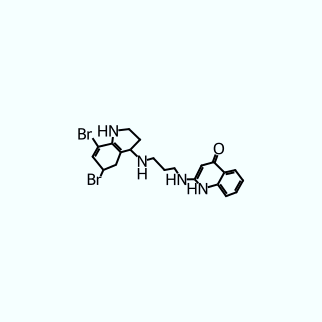 O=c1cc(NCCCNC2CCNC3=C2CC(Br)C=C3Br)[nH]c2ccccc12